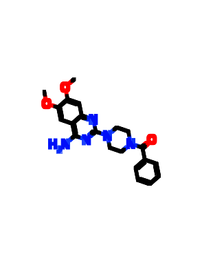 COc1cc2nc(N3CCN(C(=O)c4ccccc4)CC3)nc(N)c2cc1OC